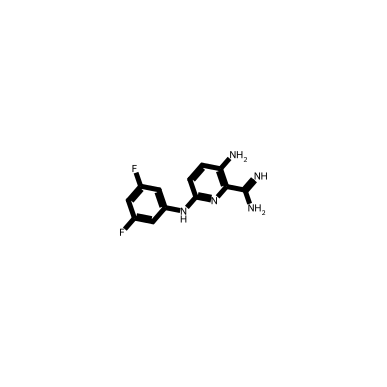 N=C(N)c1nc(Nc2cc(F)cc(F)c2)ccc1N